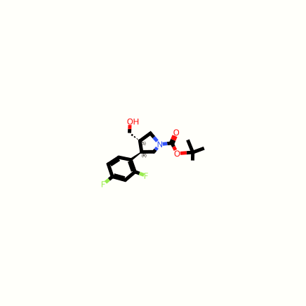 CC(C)(C)OC(=O)N1C[C@@H](CO)[C@H](c2ccc(F)cc2F)C1